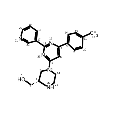 OC[C@@H]1CN(c2cc(-c3ccc(C(F)(F)F)cc3)nc(-c3cccnc3)n2)CCN1